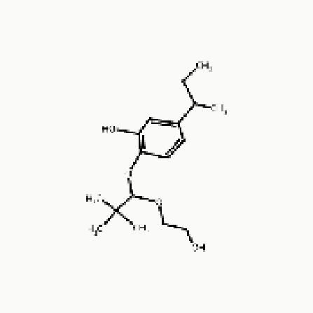 CCC(C)c1ccc(OC(OCCO)C(C)(C)C)c(O)c1